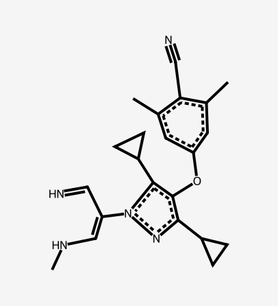 CN/C=C(\C=N)n1nc(C2CC2)c(Oc2cc(C)c(C#N)c(C)c2)c1C1CC1